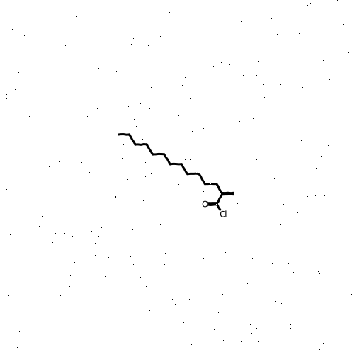 C=C(CCCCCCCCCCCC)C(=O)Cl